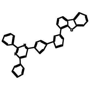 c1ccc(-c2cc(-c3ccc(-c4cccc(-c5cccc6c5oc5ccccc56)c4)cc3)nc(-c3ccccc3)n2)cc1